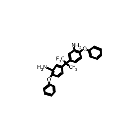 Nc1cc(C(c2ccc(Oc3ccccc3)c(N)c2)(C(F)(F)F)C(F)(F)F)ccc1Oc1ccccc1